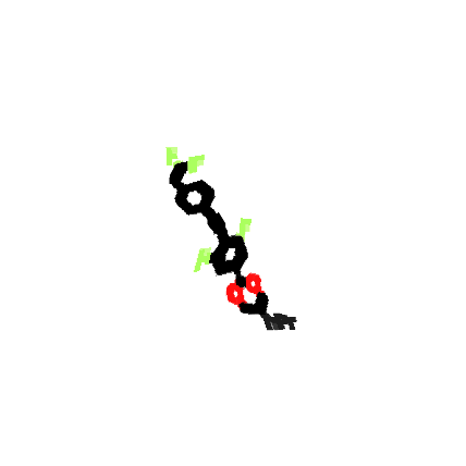 CCC[C@H]1CO[C@H](c2cc(F)c(C#CC3CCC(C=C(F)F)CC3)c(F)c2)OC1